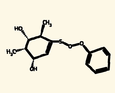 C[C@@H]1[C@H](O)[C@@H](C)C(SOOc2ccccc2)=C[C@@H]1O